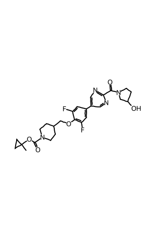 CC1(OC(=O)N2CCC(COc3c(F)cc(-c4cnc(C(=O)N5CCC(O)C5)nc4)cc3F)CC2)CC1